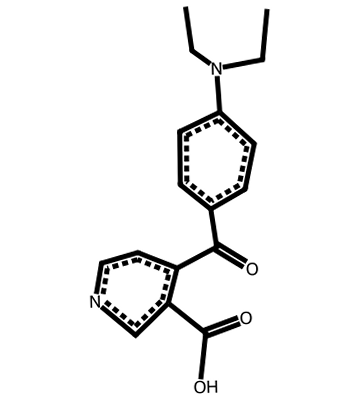 CCN(CC)c1ccc(C(=O)c2ccncc2C(=O)O)cc1